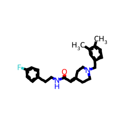 Cc1ccc(CN2CCC(=CC(=O)NCCc3ccc(F)cc3)CC2)cc1C